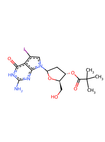 CC(C)(C)C(=O)O[C@H]1CC(n2cc(I)c3c(=O)[nH]c(N)nc32)O[C@@H]1CO